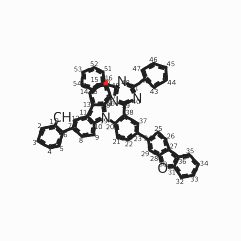 Cc1ccccc1-c1ccc2c(c1)c1ccccc1n2-c1ccc(-c2ccc3c(c2)oc2ccccc23)cc1-c1nc(-c2ccccc2)nc(-c2ccccc2)n1